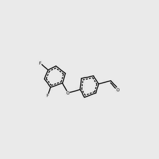 O=Cc1ccc(Oc2ccc(F)cc2F)cc1